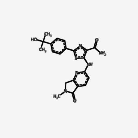 CN1Cc2nc(Nc3sc(-c4ccc(C(C)(C)O)cc4)nc3C(N)=O)ccc2C1=O